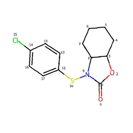 O=C1OC2CCCCC2N1Sc1ccc(Cl)cc1